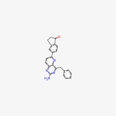 Nc1nc(Cc2ccccc2)c2nc(-c3ccc4c(c3)CCC4=O)ccc2n1